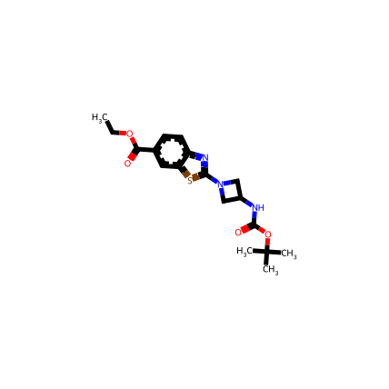 CCOC(=O)c1ccc2nc(N3CC(NC(=O)OC(C)(C)C)C3)sc2c1